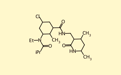 CCN(C(=O)C(C)C)C1CC(Cl)CC(C(=O)NCC2C(=O)NC(C)CC2C)C1C